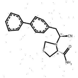 N#C[C@H](Cc1ccc(-c2ccccc2)cc1)N1CSC[C@H]1C(N)=O